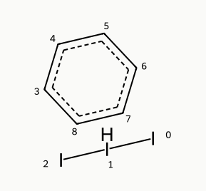 I[IH]I.c1ccccc1